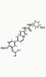 COc1ncc(-c2ccn3nc(NC(=O)N[C@H]4CC[C@H](O)C4)cc3c2)cc1OC(F)F